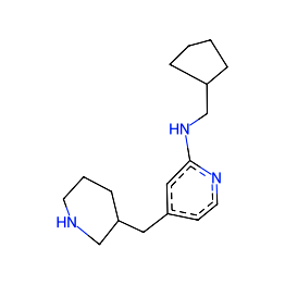 c1cc(CC2CCCNC2)cc(NCC2CCCC2)n1